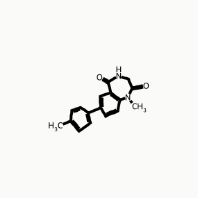 Cc1ccc(-c2ccc3c(c2)C(=O)NCC(=O)N3C)cc1